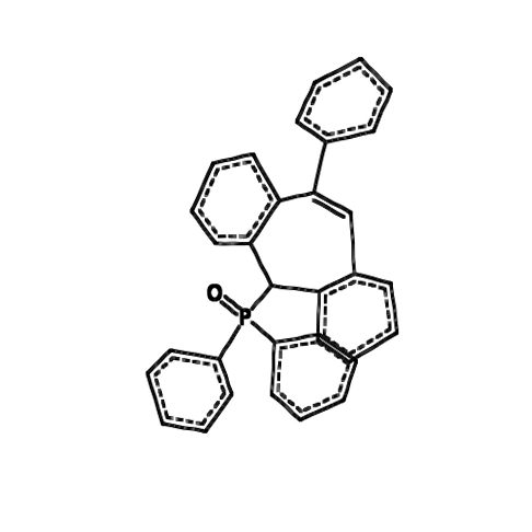 O=P(c1ccccc1)(c1ccccc1)C1c2ccccc2C=C(c2ccccc2)c2ccccc21